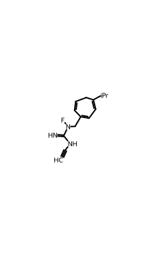 C#CNC(=N)N(F)CC1=CC=C(C(C)C)CC=C1